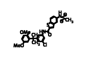 COc1ccc(OC)c(C(C)(C)c2cc(Cl)cc(NC(=O)c3cc4cc(NS(C)(=O)=O)ccc4s3)c2)c1